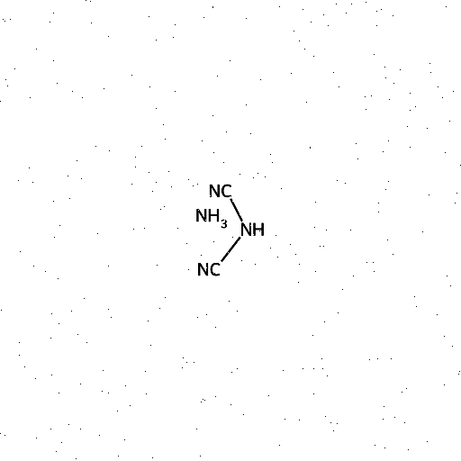 N.N#CNC#N